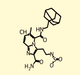 C.Cc1ccc2nc(C(N)=O)c(CCN=S(=O)=O)n2c1C(=O)NCC12CC3CC(CC(C3)C1)C2